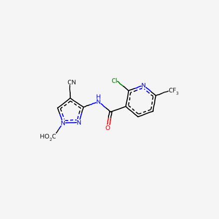 N#Cc1cn(C(=O)O)nc1NC(=O)c1ccc(C(F)(F)F)nc1Cl